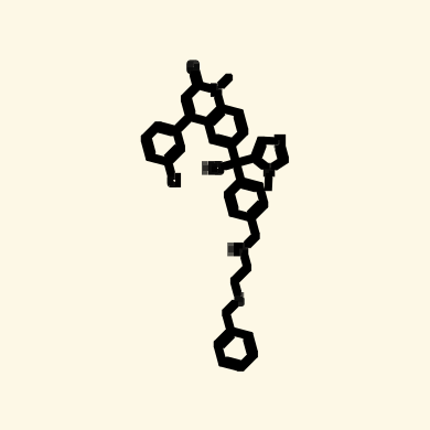 Cn1cncc1C(O)(c1ccc(CNCCSCc2ccccc2)cc1)c1ccc2c(c1)c(-c1cccc(Cl)c1)cc(=O)n2C